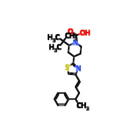 CC(CC=Cc1csc(C2CCN(C(=O)O)C(C(C)(C)C)C2)n1)c1ccccc1